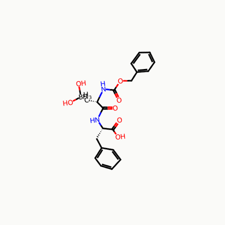 C[C@H](NC(=O)OCc1ccccc1)C(=O)N[C@@H](Cc1ccccc1)C(=O)O.OBO